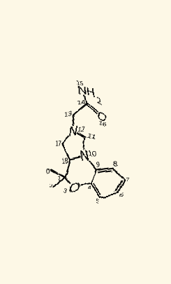 CC1(C)Oc2ccccc2N2CN(CC(N)=O)CC21